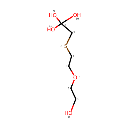 OCCOCCSCC(O)(O)O